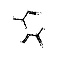 C=CC(C)=O.CC(C)C=O